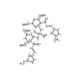 COc1cc(OC)c(C(=O)C=Cc2ccc(C)o2)c(OP(=O)(O)Oc2cc(OC)cc(OC)c2C(=O)C=Cc2ccc(C)o2)c1